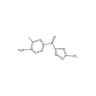 Cc1cc(C(=O)c2cc(C(F)(F)F)on2)ccc1N